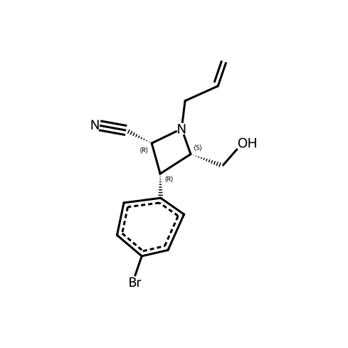 C=CCN1[C@H](CO)[C@H](c2ccc(Br)cc2)[C@@H]1C#N